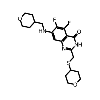 O=c1[nH]c(CSC2CCOCC2)nc2cc(NCC3CCOCC3)c(F)c(F)c12